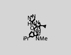 CNC(=O)c1cc(C(C)C)ccc1NC(=O)c1nc(C2CC2)cnc1Nc1cncnc1